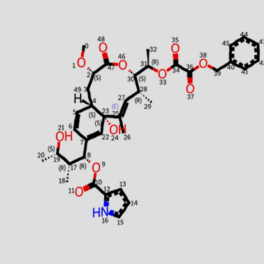 CO[C@H]1C[C@H]2C=CC([C@H](OC(=O)c3ccc[nH]3)[C@H](C)[C@H](C)O)=C[C@]2(O)/C(C)=C/[C@@H](C)[C@@H]([C@@H](C)OC(=O)C(=O)OCc2ccccc2)OC1=O